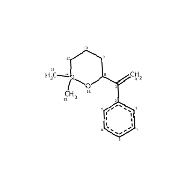 C=C(c1ccccc1)C1CCC[Si](C)(C)O1